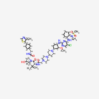 COc1cc(N2CCC(N3CCN(CC(=O)NC(C(=O)N4C[C@H](O)C[C@@H]4C(=O)NCc4ccc(-c5scnc5C)cc4)C(C)(C)C)CC3)CC2)ccc1Nc1ncc(Cl)c(Nc2ccccc2N(C)S(C)(=O)=O)n1